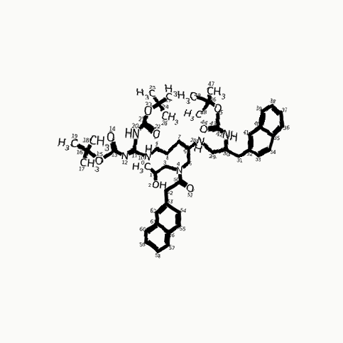 CC(O)CN(CC(CCCN/C(=N/C(=O)OC(C)(C)C)NC(=O)OC(C)(C)C)NCC(Cc1ccc2ccccc2c1)NC(=O)OC(C)(C)C)C(=O)Cc1ccc2ccccc2c1